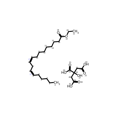 CCCCC/C=C\C/C=C\CCCCCCCC(=O)OCC.O=C(O)CC(O)(CC(=O)O)C(=O)O